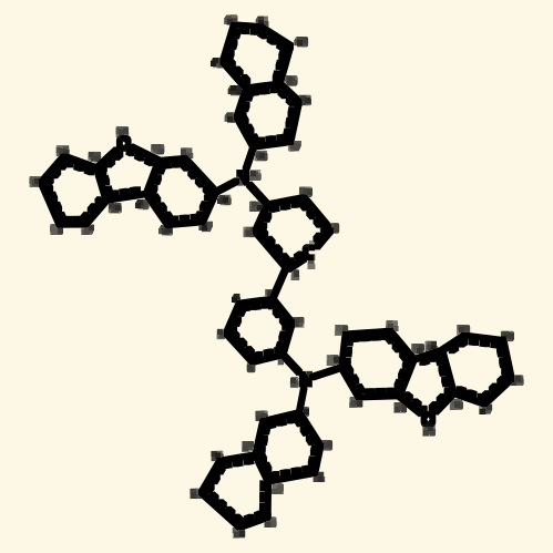 c1cc(-c2cccc(N(c3ccc4ccccc4c3)c3ccc4c(c3)oc3ccccc34)c2)cc(N(c2ccc3ccccc3c2)c2ccc3c(c2)oc2ccccc23)c1